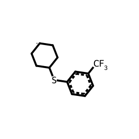 FC(F)(F)c1cccc(SC2CC[CH]CC2)c1